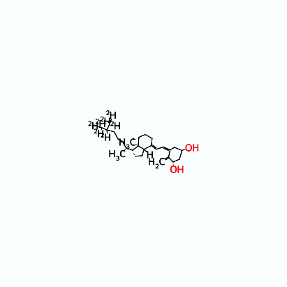 [2H]C([2H])([2H])C([2H])(CCC[C@@H](C)[C@H]1CC[C@H]2/C(=C/C=C3/C[C@@H](O)C[C@H](O)C3=C)CCC[C@]12C)C([2H])([2H])[2H]